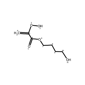 C=C(OO)C(=O)OCCCCO